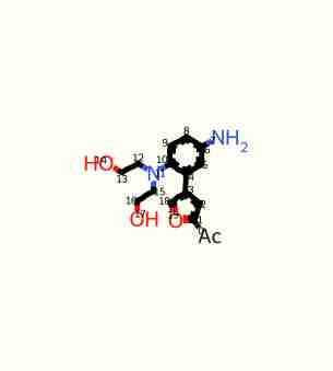 CC(=O)c1cc(-c2cc(N)ccc2N(CCO)CCO)co1